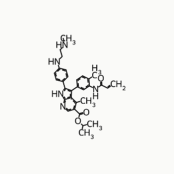 C=CC(=O)Nc1cc(-c2c(-c3ccc(NCCNC)cc3)[nH]c3ncc(C(=O)OC(C)C)c(C)c23)ccc1C